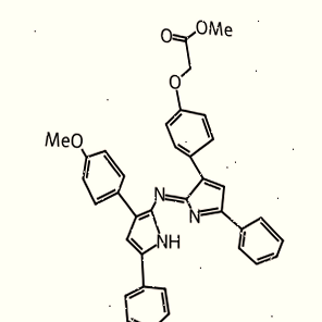 COC(=O)COc1ccc(C2=CC(c3ccccc3)=NC2=Nc2[nH]c(-c3ccccc3)cc2-c2ccc(OC)cc2)cc1